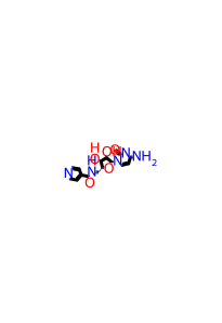 Nc1ccn([C@@H]2O[C@H](CNC(=O)c3ccncc3)[C@@H](O)[C@H]2O)c(=O)n1